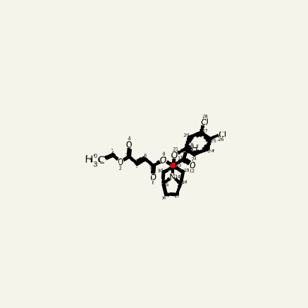 CCOC(=O)/C=C/C(=O)OC(C(=O)O)N1C2CCC1CC(Oc1ccc(Cl)c(Cl)c1)C2